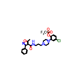 Cc1onc(-c2ccccc2)c1C(=O)NCCCN1CCN(c2cc(Cl)ccc2OS(=O)(=O)C(F)(F)F)CC1